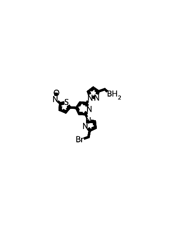 BCc1ccn(-c2cc(-c3ccc(N=O)s3)cc(-n3ccc(CBr)n3)n2)n1